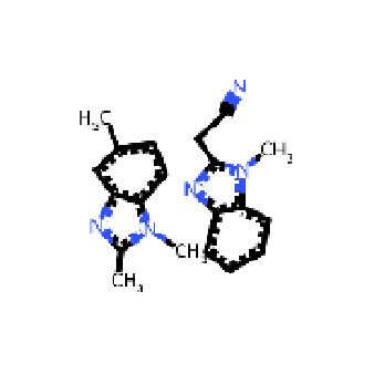 Cc1ccc2c(c1)nc(C)n2C.Cn1c(CC#N)nc2ccccc21